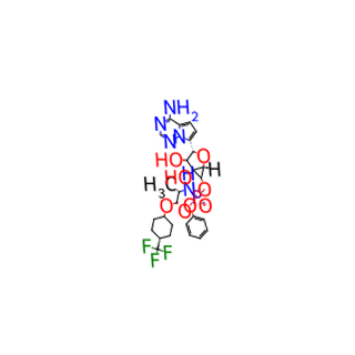 C[C@H](NP(=O)(Oc1ccccc1)OC1[C@H]2O[C@@H](c3ccc4c(N)ncnn34)[C@H](O)[C@@]12O)C(=O)O[C@H]1CC[C@@H](C(F)(F)F)CC1